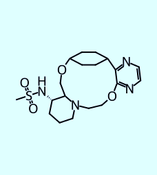 CS(=O)(=O)N[C@H]1CCCN2CCOc3nccnc3C3CCC(CC3)OCC12